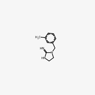 Cc1cccc(CN2CCNC2=N)c1